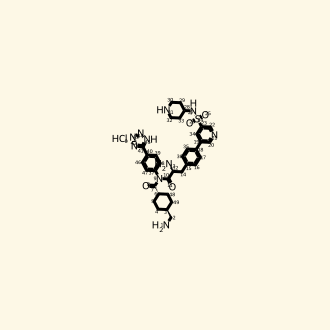 Cl.NC[C@H]1CC[C@H](C(=O)N(C(=O)[C@@H](N)Cc2ccc(-c3cncc(S(=O)(=O)NC4CCNCC4)c3)cc2)c2ccc(-c3nnn[nH]3)cc2)CC1